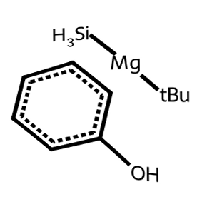 C[C](C)(C)[Mg][SiH3].Oc1ccccc1